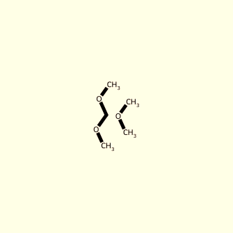 COC.COCOC